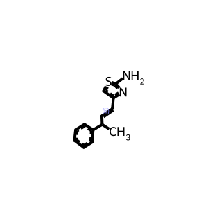 CC(/C=C/c1csc(N)n1)c1ccccc1